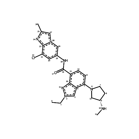 CCn1cc2c(N3CC[C@H](NC)C3)ccc(C(=O)Nc3cc(Cl)c4nc(C)cn4c3)c2n1